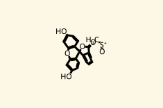 C[S+]=O.O=C1OC2(c3ccc(O)cc3Oc3cc(O)ccc32)c2ccccc21